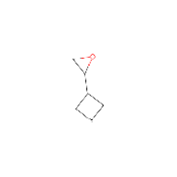 [CH]1CC(C2CO2)C1